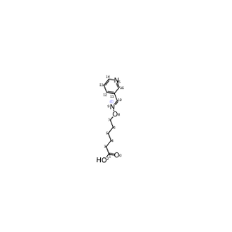 O=C(O)CCCCCO/N=C/c1cccnc1